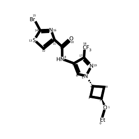 CCO[C@H]1C[C@H](n2cc(NC(=O)c3csc(Br)n3)c(C(F)(F)F)n2)C1